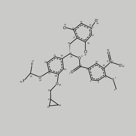 CSc1ccc(C(=O)O[C@@H](Cc2c(Cl)c[n+]([O-])cc2Cl)c2ccc(OC(F)F)c(OCC3CC3)c2)cc1[N+](=O)[O-]